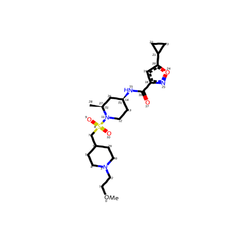 COCCN1CCC(CS(=O)(=O)N2CC[C@H](NC(=O)c3cc(C4CC4)on3)C[C@@H]2C)CC1